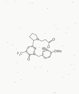 COc1ccc(Cn2nc(C3CCCN3CCC(=O)OC(C)(C)C)cc(C(F)(F)F)c2=O)cc1